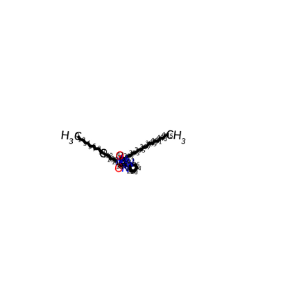 CCCCCCCCCCCCCCCCn1c(=O)c2nc3ccccc3nc2n(CCCCCCCCCCCCCCCC)c1=O